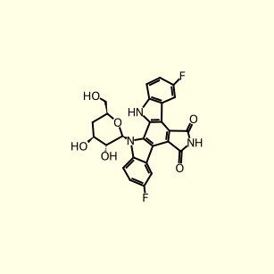 O=C1NC(=O)c2c1c1c3cc(F)ccc3[nH]c1c1c2c2cc(F)ccc2n1[C@@H]1O[C@H](CO)C[C@H](O)[C@H]1O